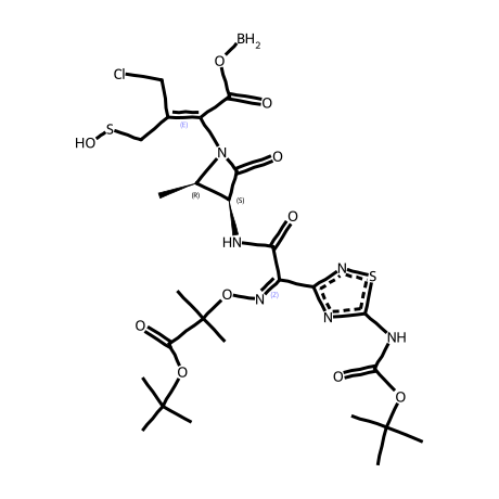 BOC(=O)/C(=C(\CCl)CSO)N1C(=O)[C@@H](NC(=O)/C(=N\OC(C)(C)C(=O)OC(C)(C)C)c2nsc(NC(=O)OC(C)(C)C)n2)[C@H]1C